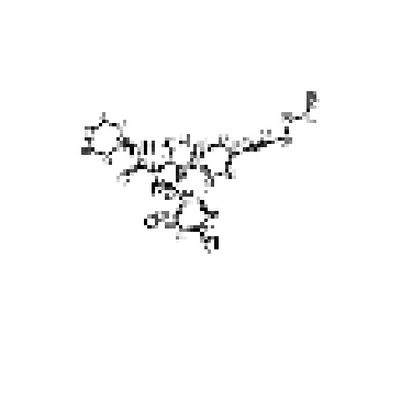 Cc1c(C(=O)NN2CCOCC2)nc(-c2ccc(Cl)cc2Cl)n1-c1ccc(C#CCCCF)cc1